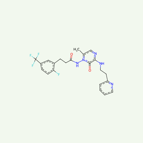 Cc1cnc(NCCc2ccccn2)c(=O)n1NC(=O)CCc1cc(C(F)(F)F)ccc1F